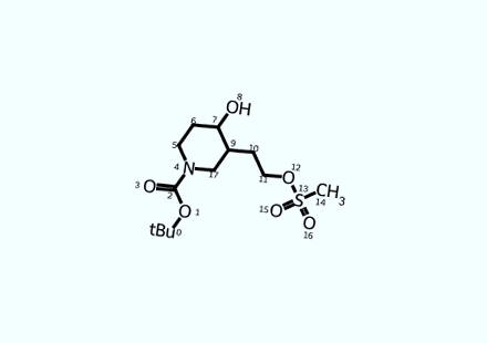 CC(C)(C)OC(=O)N1CCC(O)C(CCOS(C)(=O)=O)C1